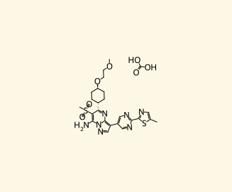 COCCO[C@H]1CC[C@H](c2nc3c(-c4cnc(-c5ncc(C)s5)nc4)cnn3c(N)c2S(C)(=O)=O)CC1.O=C(O)O